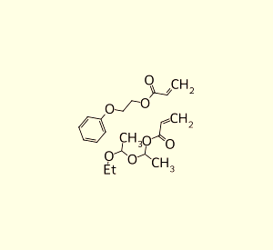 C=CC(=O)OC(C)OC(C)OCC.C=CC(=O)OCCOc1ccccc1